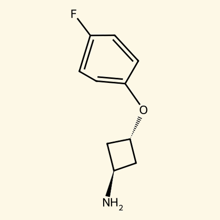 N[C@H]1C[C@H](Oc2ccc(F)cc2)C1